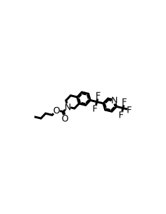 CCCCOC(=O)N1CCc2ccc(C(F)(F)c3ccc(C(F)(F)F)nc3)cc2C1